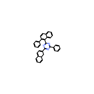 C1=CC2=CC=C(c3nc(-c4ccccc4)nc(-c4c(-c5ccccc5)ccc5ccccc45)n3)CC2C=C1